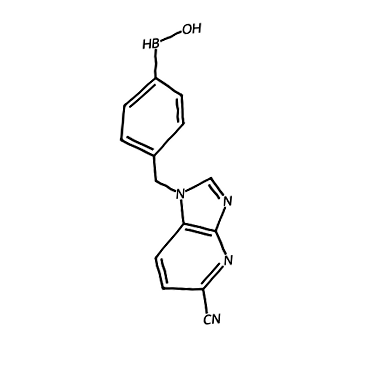 N#Cc1ccc2c(ncn2Cc2ccc(BO)cc2)n1